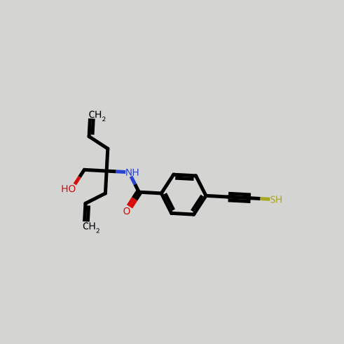 C=CCC(CO)(CC=C)NC(=O)c1ccc(C#CS)cc1